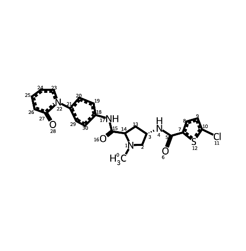 CN1C[C@@H](NC(=O)c2ccc(Cl)s2)CC1C(=O)Nc1ccc(-n2ccccc2=O)cc1